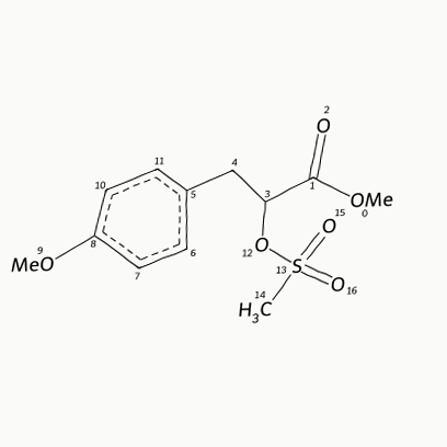 COC(=O)C(Cc1ccc(OC)cc1)OS(C)(=O)=O